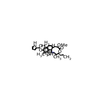 C=CC[C@@H]1OC(=O)[C@@H](OC)C[C@H]2C=C[C@]3(C)[C@H]4[C@H](O)[C@@H](C)[C@@H](OC(=O)c5ccc[nH]5)[C@@H]3O[C@@]24/C(C)=C/[C@H]1C